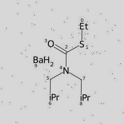 CCSC(=O)N(CC(C)C)CC(C)C.[BaH2]